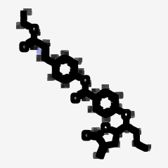 C=C1CC(C(CCC)Oc2ccc(C(=O)Oc3ccc(/C=C/C(=O)OCC)cc3)cc2)OC1=O